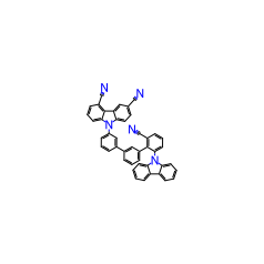 N#Cc1ccc2c(c1)c1c(C#N)cccc1n2-c1cccc(-c2cccc(-c3c(C#N)cccc3-n3c4ccccc4c4ccccc43)c2)c1